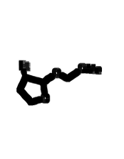 CC[C@@H]1CCOC1OCOC